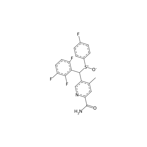 Cc1cc(C(N)=O)ncc1C(c1c(F)ccc(F)c1F)[S+]([O-])c1ccc(F)cc1